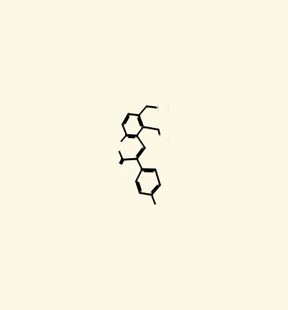 Cc1ccc(-c2cc3c(CP)c(CP)ccc3oc2=O)cc1